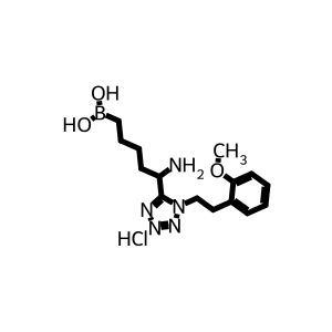 COc1ccccc1CCn1nnnc1C(N)CCCCB(O)O.Cl